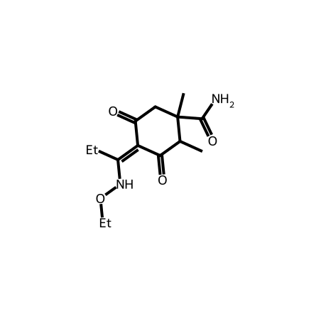 CCONC(CC)=C1C(=O)CC(C)(C(N)=O)C(C)C1=O